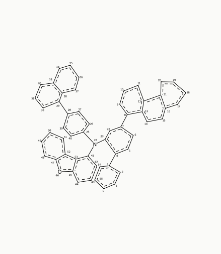 c1ccc(-c2ccc(-c3cccc4c3ccc3ccccc34)cc2N(c2ccc(-c3cccc4ccccc34)cc2)c2cccc3oc4ccccc4c23)cc1